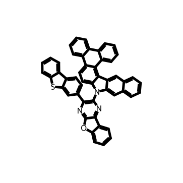 c1ccc2cc3c(cc2c1)c1c2c4ccccc4c4ccccc4c2ccc1n3-c1nc2c(nc1-c1ccc3c(c1)sc1ccccc13)oc1ccccc12